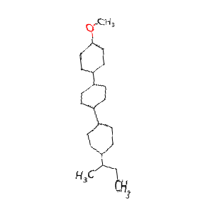 CCC(C)C1CCC(C2CCC(C3CCC(OC)CC3)CC2)CC1